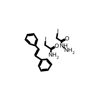 C(=Cc1ccccc1)c1ccccc1.NC(=O)CI.NNC(=O)CI